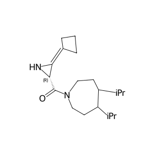 CC(C)C1CCN(C(=O)[C@@H]2NC2=C2CCC2)CCC1C(C)C